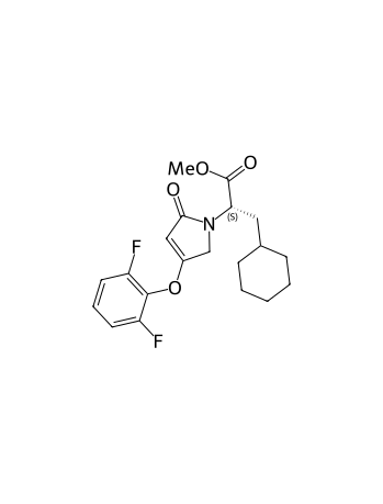 COC(=O)[C@H](CC1CCCCC1)N1CC(Oc2c(F)cccc2F)=CC1=O